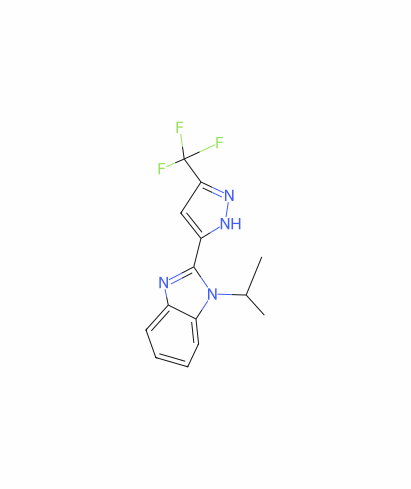 CC(C)n1c(-c2cc(C(F)(F)F)n[nH]2)nc2ccccc21